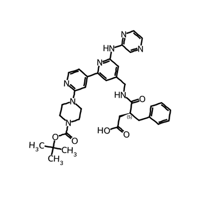 CC(C)(C)OC(=O)N1CCN(c2cc(-c3cc(CNC(=O)[C@H](CC(=O)O)Cc4ccccc4)cc(Nc4cnccn4)n3)ccn2)CC1